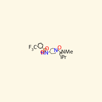 CN[C@@H](CC(C)C)C(=O)N1CCC(NS(=O)(=O)c2cccc(C(F)(F)F)c2)CC1